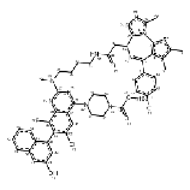 Cc1sc2c(c1C)C(c1ccc(Cl)cc1)=NC(CC(=O)NCCCCN(C)c1nc(N3CCN(C(=O)OC(C)(C)C)CC3)c3cc(Cl)c(-c4cc(O)cc5ccccc45)c(F)c3n1)c1nnc(C)n1-2